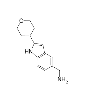 NCc1ccc2[nH]c(C3CCOCC3)cc2c1